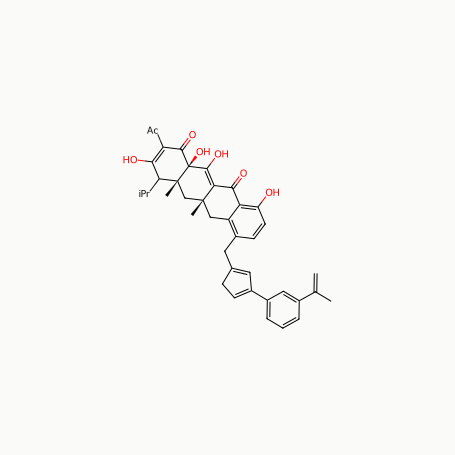 C=C(C)c1cccc(C2=CCC(Cc3ccc(O)c4c3C[C@]3(C)C[C@]5(C)C(C(C)C)C(O)=C(C(C)=O)C(=O)[C@]5(O)C(O)=C3C4=O)=C2)c1